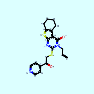 C=CCn1c(SCC(=O)c2ccncc2)nc2sc3c(c2c1=O)CCCC3